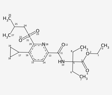 CCOC(=O)C(CC)(CC)NC(=O)c1ccc(C2CC2)c(S(=O)(=O)CC(C)C)n1